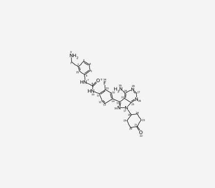 NCc1cccc(NC(=O)Nc2ccc(-c3nn(C4CCC(=O)CC4)c4ncnc(N)c34)cc2F)c1